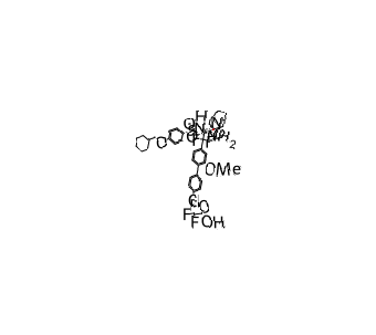 COc1cc(C(F)(F)[C@@H](NS(=O)(=O)c2ccc(OCC3CCCCC3)cc2)C(=O)N2C3CCC2CC(N)C3)ccc1-c1ccc(Cl)cc1.O=C(O)C(F)(F)F